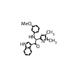 COc1cccc(NC(C(=O)c2c[nH]c3ccccc23)c2cc(C)n(C)n2)c1